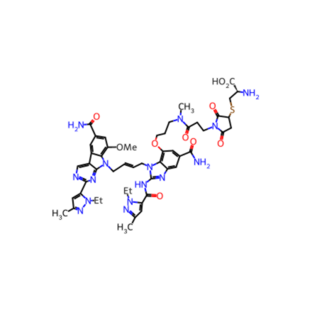 CCn1nc(C)cc1C(=O)Nc1nc2cc(C(N)=O)cc(OCCCN(C)C(=O)CCN3C(=O)CC(SC[C@H](N)C(=O)O)C3=O)c2n1C/C=C/Cn1c2nc(-c3cc(C)nn3CC)ncc2c2cc(C(N)=O)cc(OC)c21